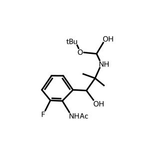 CC(=O)Nc1c(F)cccc1C(O)C(C)(C)NC(O)OC(C)(C)C